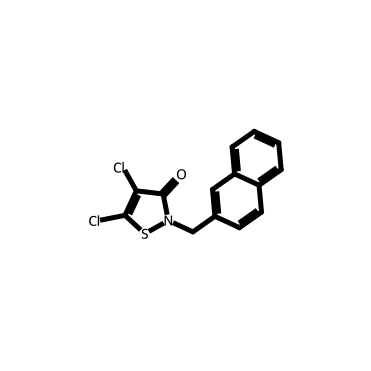 O=c1c(Cl)c(Cl)sn1Cc1ccc2ccccc2c1